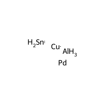 [AlH3].[Cu].[Pd].[SnH2]